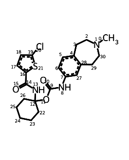 CN1CCc2ccc(NC(=O)OC3(NC(=O)c4ccc(Cl)s4)CCCCC3)cc2CC1